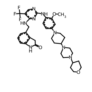 COc1cc(N2CCC(N3CCN(C4CCOCC4)CC3)CC2)ccc1Nc1ncc(C(F)(F)F)c(NCc2cccc3c2CC(=O)N3)n1